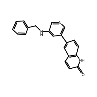 O=c1ccc2cc(-c3cncc(NCc4ccccc4)c3)ccc2[nH]1